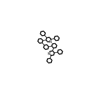 c1ccc(-c2cc(-c3ccccc3)c(-c3ccccc3-c3cccc(-c4ccccc4-c4cnc(-c5ccccc5)cc4-c4ccccc4)c3)cn2)cc1